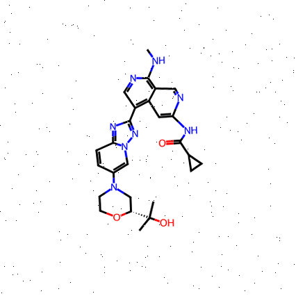 CNc1ncc(-c2nc3ccc(N4CCO[C@@H](C(C)(C)O)C4)cn3n2)c2cc(NC(=O)C3CC3)ncc12